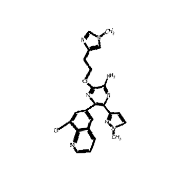 Cn1cnc(CCOc2nc(-c3cc(Cl)c4ncccc4c3)c(-c3ccn(C)n3)nc2N)c1